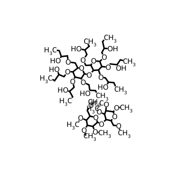 CCC(O)COCC1OC(OC2C(COCC(O)CC)OC(OCC(O)CC)C(OCC(O)CC)C2OCC(O)CC)C(OCC(O)CC)C(OCC(O)CC)C1OCC(O)CC.COCC1OC(OC2C(COC)OC(OC)C(OC)C2OC)C(OC)C(OC)C1OC